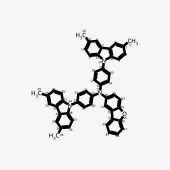 Cc1ccc2c(c1)c1cc(C)ccc1n2-c1ccc(N(c2ccc(-n3c4ccc(C)cc4c4cc(C)ccc43)cc2)c2ccc3oc4ccccc4c3c2)cc1